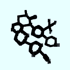 CN1Cc2cnc3ccc(-c4cnc(C#N)nc4)nc3c2N(c2ccc(N3CCNCC3)c(C(F)(F)F)c2)C1=O